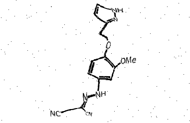 COc1cc(NN=C(C#N)C#N)ccc1OCc1cc[nH]n1